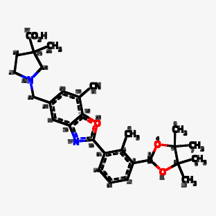 Cc1c(B2OC(C)(C)C(C)(C)O2)cccc1-c1nc2cc(CN3CCC(C)(C(=O)O)C3)cc(C#N)c2o1